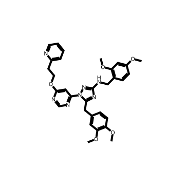 COc1ccc(CNc2nc(Cc3ccc(OC)c(OC)c3)n(-c3cc(OCCc4ccccn4)ncn3)n2)c(OC)c1